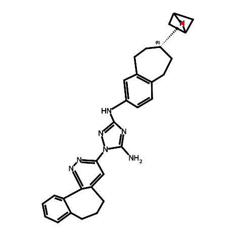 Nc1nc(Nc2ccc3c(c2)CC[C@H](N2CC4CC2C4)CC3)nn1-c1cc2c(nn1)-c1ccccc1CCC2